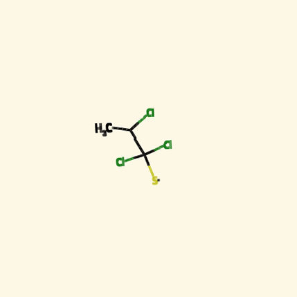 CC(Cl)C([S])(Cl)Cl